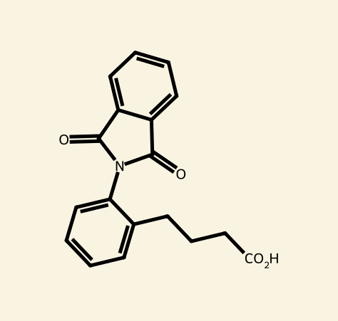 O=C(O)CCCc1ccccc1N1C(=O)c2ccccc2C1=O